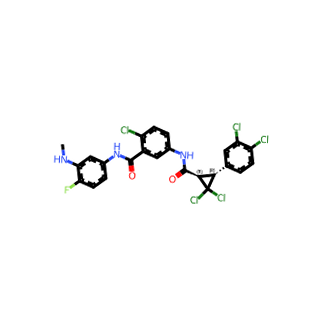 CNc1cc(NC(=O)c2cc(NC(=O)[C@H]3[C@H](c4ccc(Cl)c(Cl)c4)C3(Cl)Cl)ccc2Cl)ccc1F